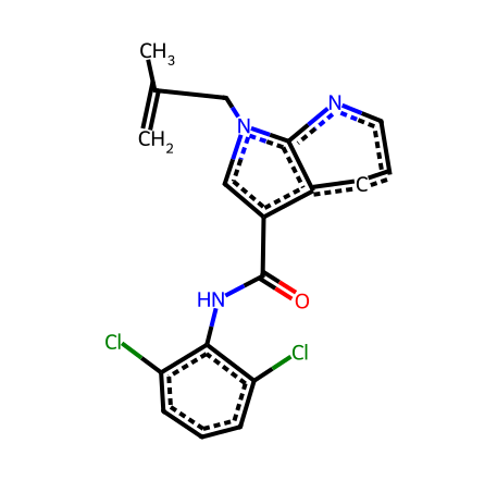 C=C(C)Cn1cc(C(=O)Nc2c(Cl)cccc2Cl)c2cccnc21